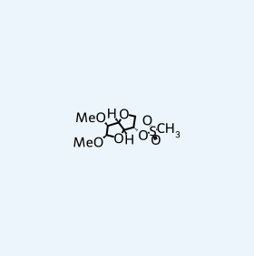 CO[C@@H]1O[C@@H]2[C@@H](OC[C@@H]2OS(C)(=O)=O)[C@@H]1OC